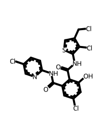 O=C(Nc1ccc(Cl)cn1)c1cc(Cl)cc(O)c1C(=O)Nc1scc(CCl)c1Cl